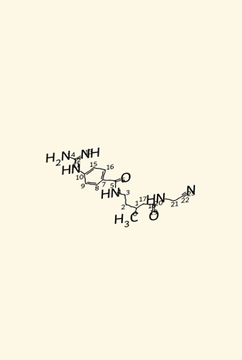 CC(CCNC(=O)c1ccc(NC(=N)N)cc1)CC(=O)NCC#N